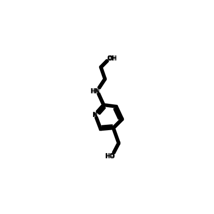 OCCNc1ccc(CO)cn1